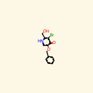 O=c1c(OCc2ccccc2)c[nH]c(CO)c1Br